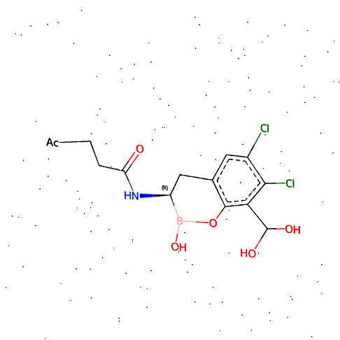 CC(=O)CCC(=O)N[C@H]1Cc2cc(Cl)c(Cl)c(C(O)O)c2OB1O